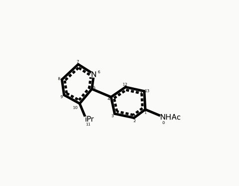 CC(=O)Nc1ccc(-c2ncccc2C(C)C)cc1